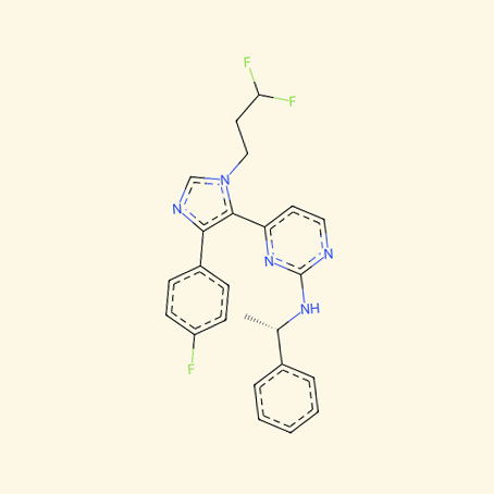 C[C@H](Nc1nccc(-c2c(-c3ccc(F)cc3)ncn2CCC(F)F)n1)c1ccccc1